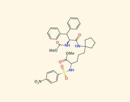 COC(=O)N[C@H](C(=O)NC1(CCCC(NS(=O)(=O)c2ccc([N+](=O)[O-])cc2)C(=O)OC)CCCC1)C(c1ccccc1)c1ccccc1